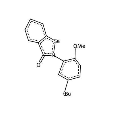 COc1ccc(C(C)(C)C)cc1-n1[se]c2ccccc2c1=O